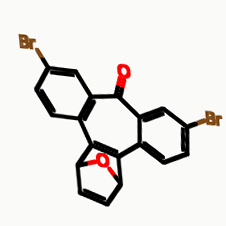 O=c1c2cc(Br)ccc2c2c(c3ccc(Br)cc13)C1C=CC2O1